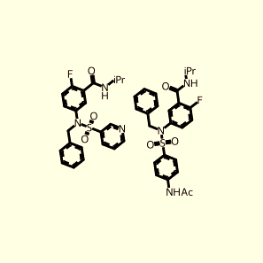 CC(=O)Nc1ccc(S(=O)(=O)N(Cc2ccccc2)c2ccc(F)c(C(=O)NC(C)C)c2)cc1.CC(C)NC(=O)c1cc(N(Cc2ccccc2)S(=O)(=O)c2cccnc2)ccc1F